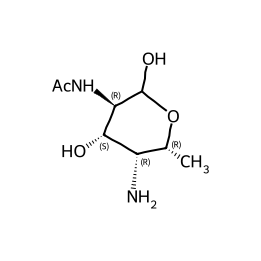 CC(=O)N[C@H]1C(O)O[C@H](C)[C@H](N)[C@@H]1O